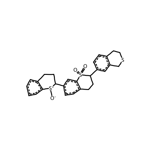 O=S1(=O)c2cc(C3CCc4ccccc4[S+]3[O-])ccc2CCC1c1ccc2c(c1)CSCC2